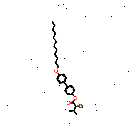 CCCCCCCCCCCCOc1ccc(-c2ccc(OC(=O)C(Br)C(C)C)cc2)cc1